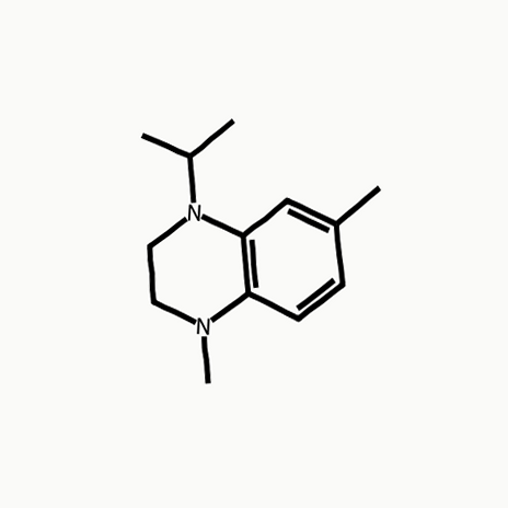 Cc1ccc2c(c1)N(C(C)C)CCN2C